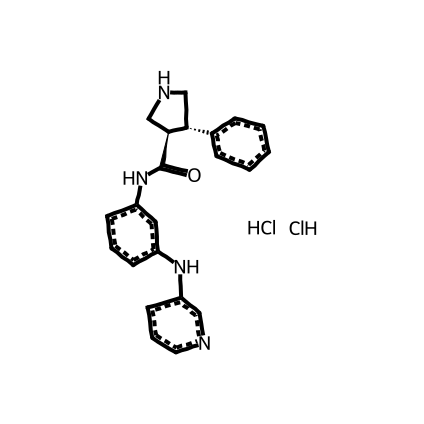 Cl.Cl.O=C(Nc1cccc(Nc2cccnc2)c1)[C@H]1CNC[C@@H]1c1ccccc1